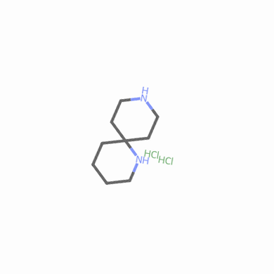 C1CCC2(CCNCC2)NC1.Cl.Cl